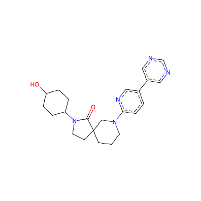 O=C1N(C2CCC(O)CC2)CCC12CCCN(c1ccc(-c3cncnc3)cn1)C2